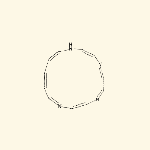 C1=CC=NC=CN=CC=NC=CNC=C1